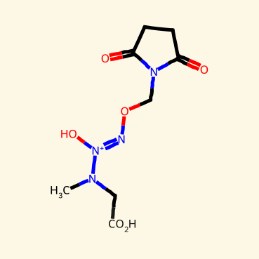 CN(CC(=O)O)/[N+](O)=N/OCN1C(=O)CCC1=O